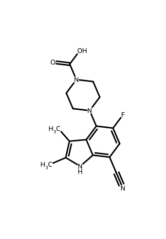 Cc1[nH]c2c(C#N)cc(F)c(N3CCN(C(=O)O)CC3)c2c1C